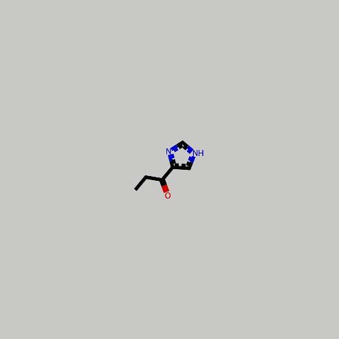 CCC(=O)c1c[nH][c]n1